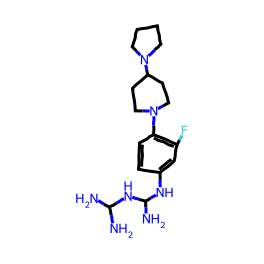 NC(N)NC(N)Nc1ccc(N2CCC(N3CCCC3)CC2)c(F)c1